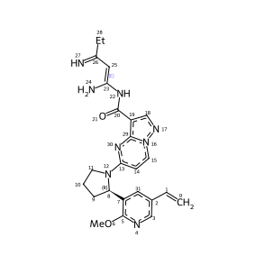 C=Cc1cnc(OC)c([C@H]2CCCN2c2ccn3ncc(C(=O)N/C(N)=C/C(=N)CC)c3n2)c1